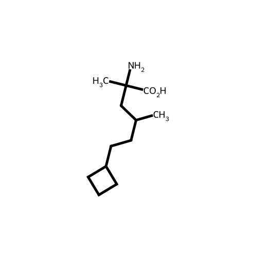 CC(CCC1CCC1)CC(C)(N)C(=O)O